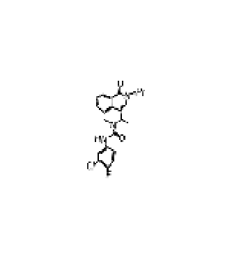 CC(c1cn(C(C)C)c(=O)c2ccccc12)N(C)C(=O)Nc1ccc(F)c(Cl)c1